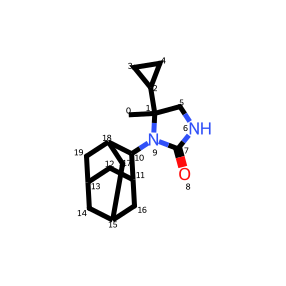 CC1(C2CC2)CNC(=O)N1C1C2CC3CC(C2)CC1C3